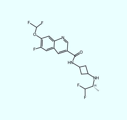 C[C@@H](NC1CC(NC(=O)c2cnc3cc(OC(F)F)c(F)cc3c2)C1)C(F)F